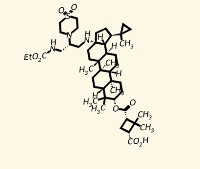 CCOC(=O)NC[C@@H](CN[C@]12CC[C@@H](C3(C)CC3)[C@@H]1[C@H]1CC[C@@H]3[C@@]4(C)CC[C@H](OC(=O)[C@H]5C[C@@H](C(=O)O)C5(C)C)C(C)(C)[C@@H]4CC[C@@]3(C)[C@]1(C)CC2)N1CCS(=O)(=O)CC1